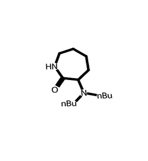 CCCCN(CCCC)C1CCCCNC1=O